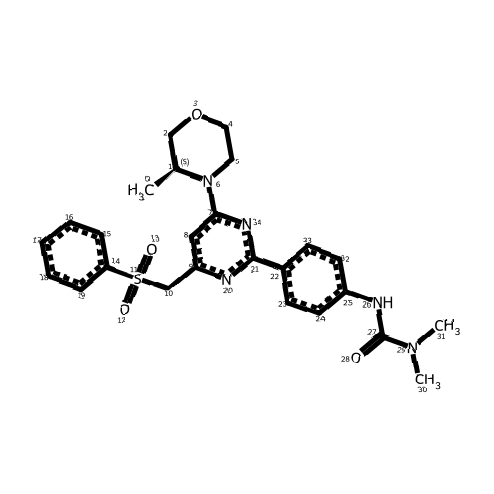 C[C@H]1COCCN1c1cc(CS(=O)(=O)c2ccccc2)nc(-c2ccc(NC(=O)N(C)C)cc2)n1